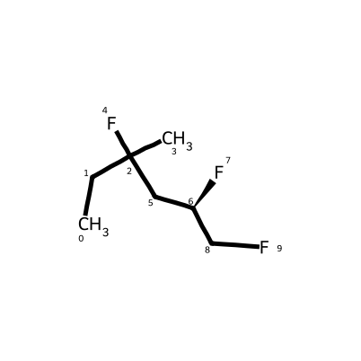 CCC(C)(F)C[C@@H](F)CF